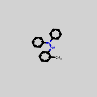 Cc1ccccc1NN(c1ccccc1)c1ccccc1